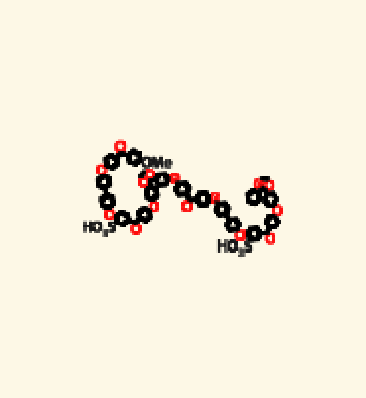 COc1ccc(C(=O)c2ccc(Oc3ccc(-c4ccc(Oc5ccc(C(=O)c6ccc(Oc7ccc(C8(c9ccc(Oc%10ccc(C(=O)c%11ccc(Oc%12ccc(-c%13ccc(Oc%14ccc(C(=O)c%15ccc(Oc%16ccc(C%17(c%18ccccc%18)OCCO%17)cc%16)cc%15)cc%14S(=O)(=O)O)cc%13)cc%12)cc%11)cc%10)cc9)OCCO8)cc7)cc6)cc5S(=O)(=O)O)cc4)cc3)cc2)cc1